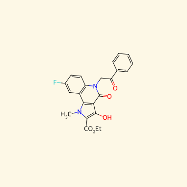 CCOC(=O)c1c(O)c2c(=O)n(CC(=O)c3ccccc3)c3ccc(F)cc3c2n1C